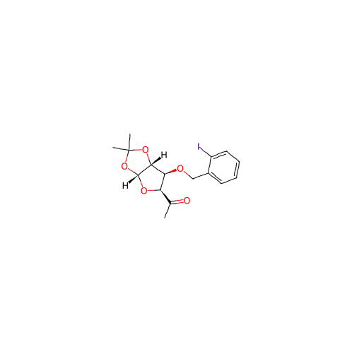 CC(=O)[C@H]1O[C@@H]2OC(C)(C)O[C@@H]2[C@H]1OCc1ccccc1I